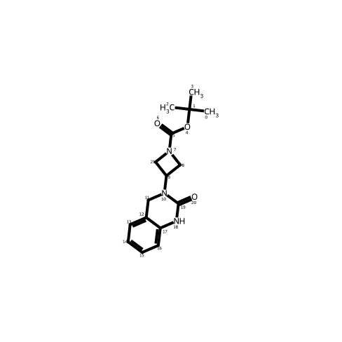 CC(C)(C)OC(=O)N1CC(N2Cc3ccccc3NC2=O)C1